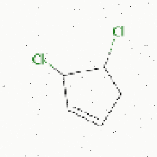 ClC1C=[C]CC1Cl